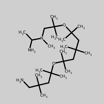 CC(N)N(C)CC(C)(C)OC(C)(C)CC(C)(C)CC(C)(C)OC(C)(C)CC(C)(C)CN